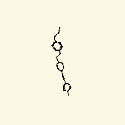 CCCc1ccc(CCc2ccc(C#Cc3ccc(C)cc3)cc2)cc1